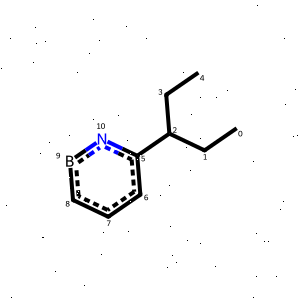 CCC(CC)c1cccbn1